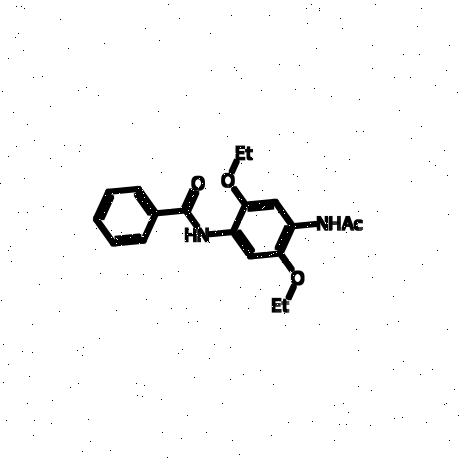 CCOc1cc(NC(=O)c2ccccc2)c(OCC)cc1NC(C)=O